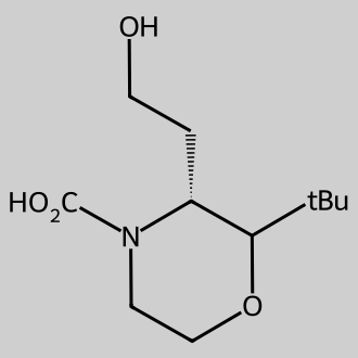 CC(C)(C)C1OCCN(C(=O)O)[C@@H]1CCO